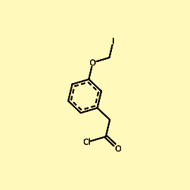 O=C(Cl)Cc1cccc(OCI)c1